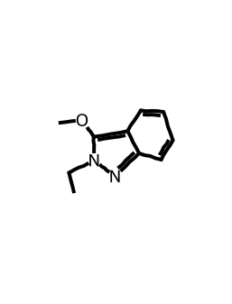 CCn1nc2ccccc2c1OC